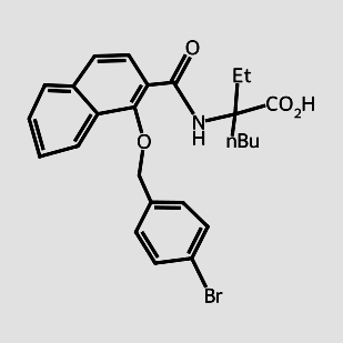 CCCCC(CC)(NC(=O)c1ccc2ccccc2c1OCc1ccc(Br)cc1)C(=O)O